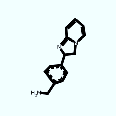 NCc1ccc(C2CN3C=CC=CC3=N2)cc1